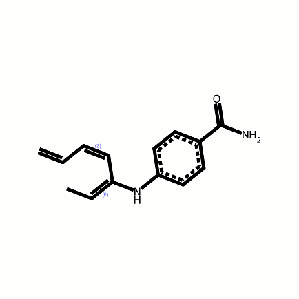 C=C/C=C\C(=C/C)Nc1ccc(C(N)=O)cc1